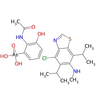 CC(=O)Nc1c(O)cccc1[As](=O)(O)O.CNc1c(C(C)C)c(Cl)c2ncsc2c1C(C)C